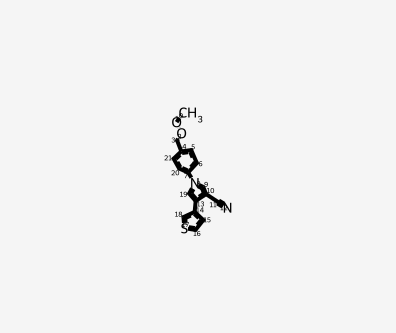 COOCc1ccc(-n2cc(C#N)c(-c3ccsc3)c2)cc1